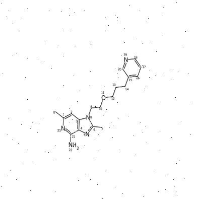 Cc1cc2c(nc(C)n2CCOCCCc2cccnc2)c(N)n1